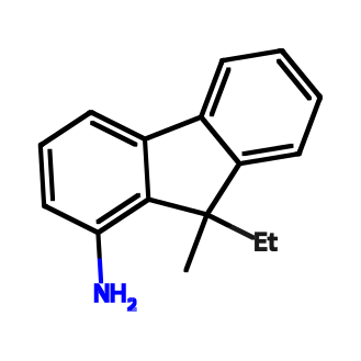 CCC1(C)c2ccccc2-c2cccc(N)c21